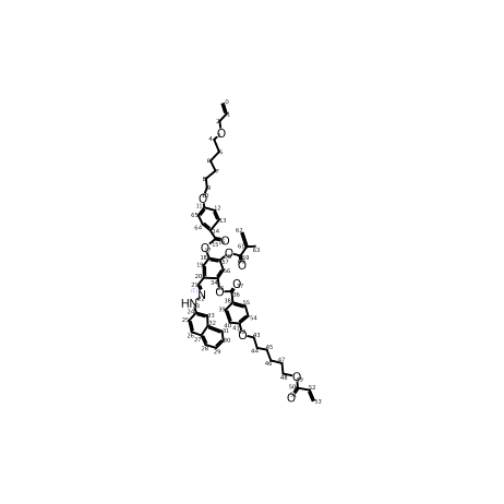 C=CCOCCCCCCOc1ccc(C(=O)Oc2cc(/C=N/Nc3ccc4ccccc4c3)c(OC(=O)c3ccc(OCCCCCCOC(=O)C=C)cc3)cc2OC(=O)C(=C)C)cc1